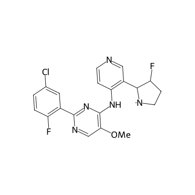 COc1cnc(-c2cc(Cl)ccc2F)nc1Nc1ccncc1C1[N]CCC1F